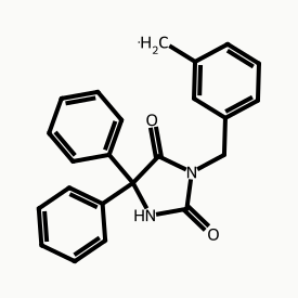 [CH2]c1cccc(CN2C(=O)NC(c3ccccc3)(c3ccccc3)C2=O)c1